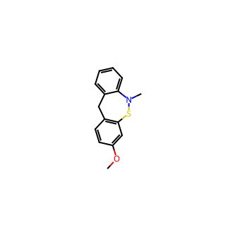 COc1ccc2c(c1)SN(C)c1ccccc1C2